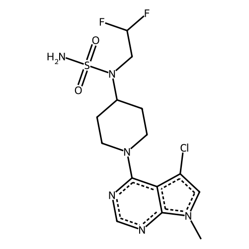 Cn1cc(Cl)c2c(N3CCC(N(CC(F)F)S(N)(=O)=O)CC3)ncnc21